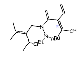 C=C/C(C(=C)N(CC(=C(C)C)C(C)Cl)N(CC)CCCC)=C(/C)O